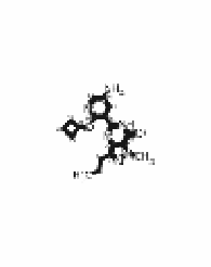 CCCc1nn(C)c2c(=O)[nH]c(-c3cc(N)cnc3OC3CCC3)nc12